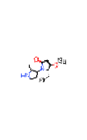 CC(C)C[C@H]1C(OC(C)(C)C)=CC(=O)N1C1CCN[C@H]1C